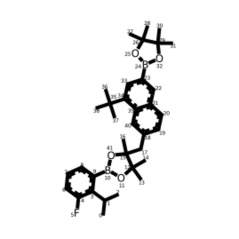 CC(C)c1c(F)cccc1B1OC(C)(C)C(C)(Cc2ccc3cc(B4OC(C)(C)C(C)(C)O4)cc(C(C)(C)C)c3c2)O1